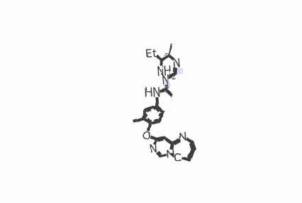 CCC(N)[C@@H](C)/N=C\N=C(/C)Nc1ccc(OC2=CC3=NC=C=CCN3C=N2)c(C)c1